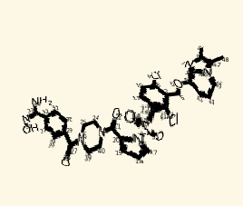 Cc1nc2c(OCc3c(Cl)ccc(S(=O)(=O)n4cccc4C(=O)N4CCN(C(=O)c5ccc(/C(N)=N\O)cc5)CC4)c3Cl)cccn2c1C